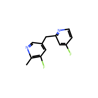 Cc1ncc(Cc2cc(F)ccn2)cc1F